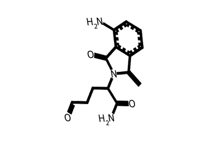 C=C1c2cccc(N)c2C(=O)N1C(CCC=O)C(N)=O